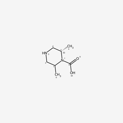 CC1CNC[C@H](C)N1C(=O)O